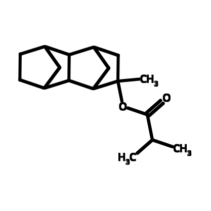 CC(C)C(=O)OC1(C)CC2CC1C1C3CCC(C3)C21